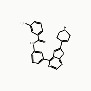 O=C(Nc1cccc(-c2ncnc3sc(C4=CCNCC4)cc23)c1)c1cccc(C(F)(F)F)c1